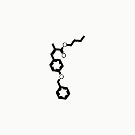 CCCCOC(=O)C(C)=Cc1ccc(OCc2ccccc2)cc1